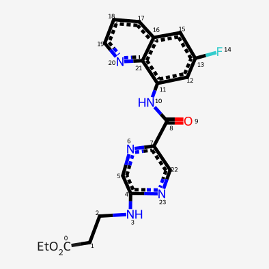 CCOC(=O)CCNc1cnc(C(=O)Nc2cc(F)cc3cccnc23)cn1